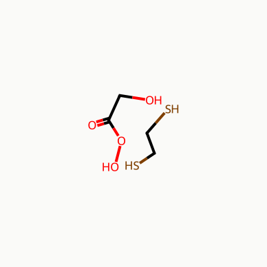 O=C(CO)OO.SCCS